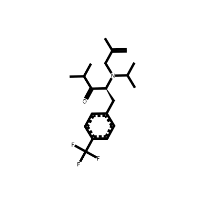 C=C(C)CN(C(C)C)[C@@H](Cc1ccc(C(F)(F)F)cc1)C(=O)C(C)C